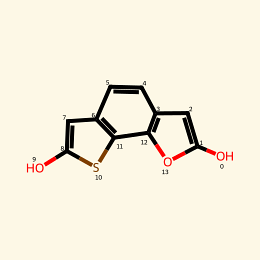 Oc1cc2ccc3cc(O)sc3c2o1